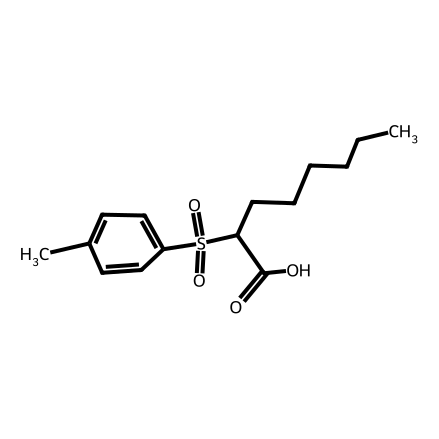 CCCCCCC(C(=O)O)S(=O)(=O)c1ccc(C)cc1